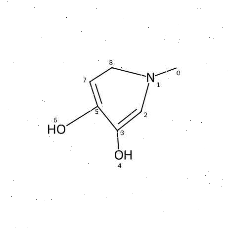 CN1C=C(O)C(O)=CC1